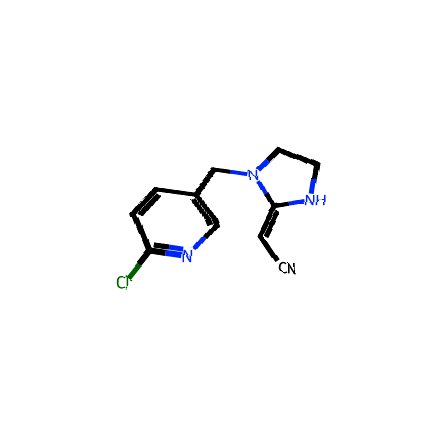 N#CC=C1NCCN1Cc1ccc(Cl)nc1